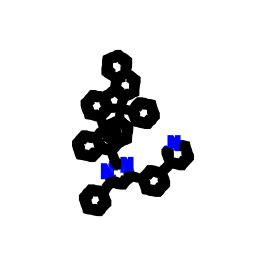 c1ccc(-c2cc(-c3cccc(-c4cccnc4)c3)nc(-c3ccc(-c4cccc5c4C(c4ccccc4)(c4ccccc4)c4ccc6ccccc6c4-5)c4ccccc34)n2)cc1